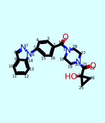 O=C(c1ccc(-n2ncc3ccccc32)cc1)N1CCN(C(=O)C2(O)CC2)CC1